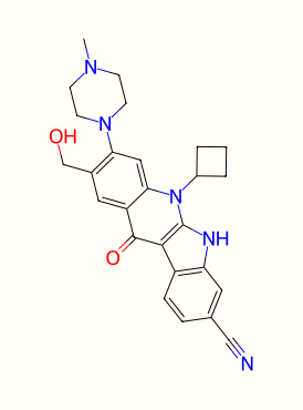 CN1CCN(c2cc3c(cc2CO)c(=O)c2c4ccc(C#N)cc4[nH]c2n3C2CCC2)CC1